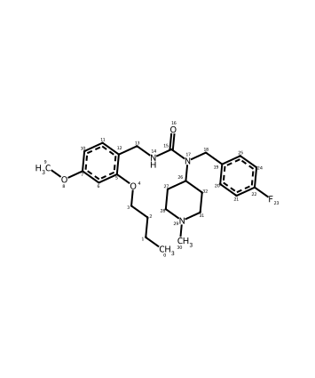 CCCCOc1cc(OC)ccc1CNC(=O)N(Cc1ccc(F)cc1)C1CCN(C)CC1